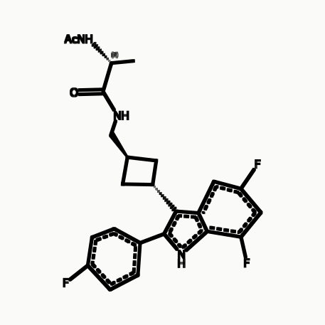 CC(=O)N[C@H](C)C(=O)NC[C@H]1C[C@H](c2c(-c3ccc(F)cc3)[nH]c3c(F)cc(F)cc32)C1